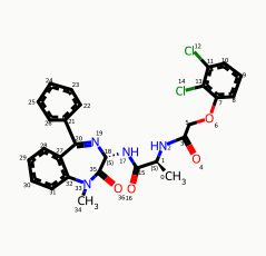 C[C@H](NC(=O)COc1cccc(Cl)c1Cl)C(=O)N[C@H]1N=C(c2ccccc2)c2ccccc2N(C)C1=O